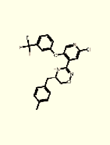 Cc1ccc(C[C@@H]2CON=C(c3cc(Cl)ncc3Oc3cccc(C(F)(F)F)c3)N2)cc1